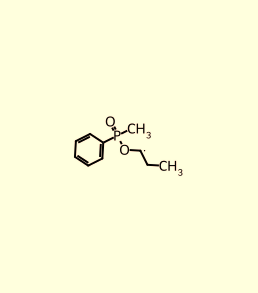 CC[CH]OP(C)(=O)c1ccccc1